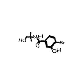 CC(C)(CO)NC(=O)c1ccc(Br)c(O)c1